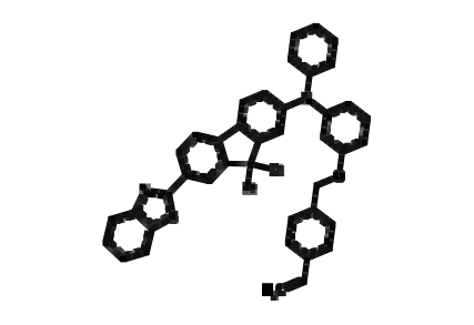 C=Cc1ccc(COc2cccc(N(c3ccccc3)c3ccc4c(c3)C(CC)(CC)c3cc(-c5nc6ccccc6s5)ccc3-4)c2)cc1